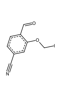 N#Cc1ccc(C=O)c(OCI)c1